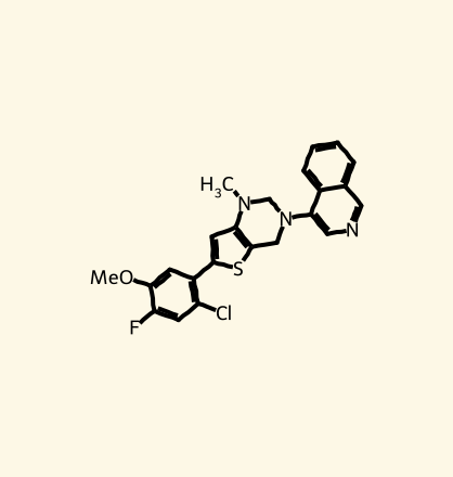 COc1cc(-c2cc3c(s2)CN(c2cncc4ccccc24)CN3C)c(Cl)cc1F